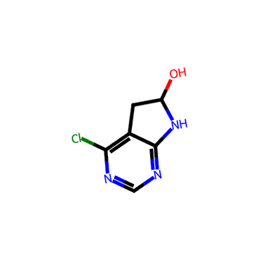 OC1Cc2c(Cl)ncnc2N1